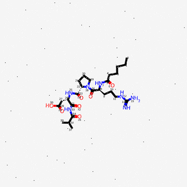 CCCCCC(=O)N[C@@H](CCCNC(=N)N)C(=O)N1CCC[C@H]1C(=O)N[C@@H](CC(=O)O)C(=O)NC(=O)C(C)C